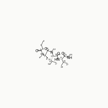 CCCC(=O)N(C)[C@H](C)C(=O)N(C)[C@@H](CC(C)C)C(=O)N[C@H](C(=O)NC)C(C)C